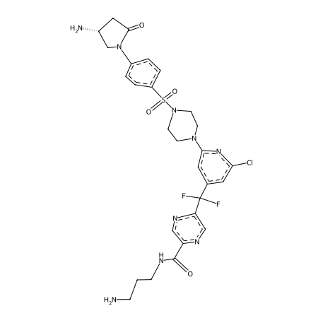 NCCCNC(=O)c1cnc(C(F)(F)c2cc(Cl)nc(N3CCN(S(=O)(=O)c4ccc(N5C[C@H](N)CC5=O)cc4)CC3)c2)cn1